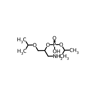 CC(C)OCC(CN)OP(=O)(O)OC(C)C